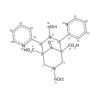 CCCCCCCCN1CC2(C(=O)O)C(=O)C(C(=O)O)(C1)C(c1ccccn1)N(CCCCCCCC)C2c1ccccn1